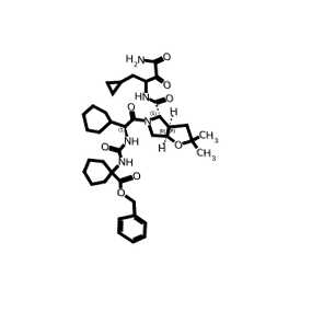 CC1(C)C[C@H]2[C@H](CN(C(=O)[C@@H](NC(=O)NC3(C(=O)OCc4ccccc4)CCCCC3)C3CCCCC3)[C@@H]2C(=O)NC(CC2CC2)C(=O)C(N)=O)O1